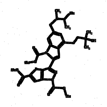 COC(=O)c1cc2c(s1)c(-c1cc3c(CCC(C)(C)O)cc(CN(C)C(C)C(C)(C)C)cc3n1C(=O)OC(C)(C)C)nn2C(=O)OC(C)(C)C